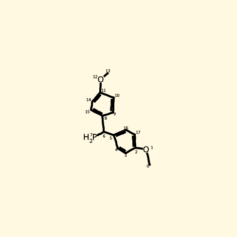 COc1ccc(C(P)c2ccc(OC)cc2)cc1